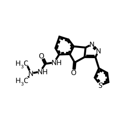 CN(C)NC(=O)Nc1cccc2c1C(=O)C1=C(c3ccsc3)N=NC12